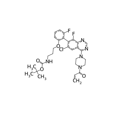 C=CC(=O)N1CCN(c2ncnc3c(F)c(-c4c(F)cccc4OCCCNC(=O)OC(C)(C)C)c(Cl)cc23)CC1